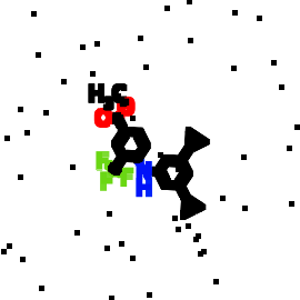 COC(=O)c1ccc(Nc2cc(C3CC3)cc(C3CC3)c2)c(C(F)(F)F)c1